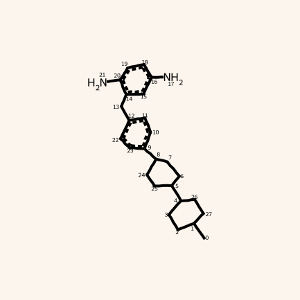 CC1CCC(C2CCC(c3ccc(Cc4cc(N)ccc4N)cc3)CC2)CC1